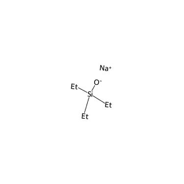 CC[Si]([O-])(CC)CC.[Na+]